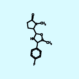 CN1OC(C2CCC(=O)N2C)NC1c1ccc(F)cc1